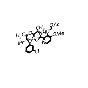 COc1ccnc(C(=O)N[C@@H](C)C(=O)O[C@@H](C)[C@H](Oc2cccc(Cl)c2)C(C)C)c1OCOC(C)=O